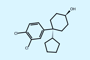 O[C@H]1CC[C@](c2ccc(Cl)c(Cl)c2)(C2CCCC2)CC1